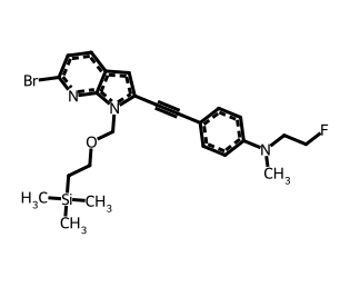 CN(CCF)c1ccc(C#Cc2cc3ccc(Br)nc3n2COCC[Si](C)(C)C)cc1